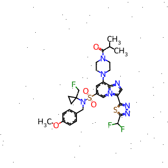 COc1ccc(CN(C2(CF)CC2)S(=O)(=O)c2cc(N3CCN(C(=O)C(C)C)CC3)c3ncc(-c4nnc(C(F)F)s4)n3c2)cc1